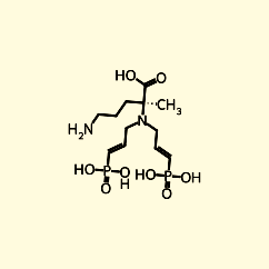 C[C@](CCCN)(C(=O)O)N(CC=CP(=O)(O)O)CC=CP(=O)(O)O